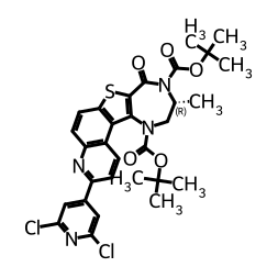 C[C@@H]1CN(C(=O)OC(C)(C)C)c2c(sc3ccc4nc(-c5cc(Cl)nc(Cl)c5)ccc4c23)C(=O)N1C(=O)OC(C)(C)C